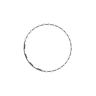 [C]1=C/C=C\C=C/C=CCCCCCCCCCCCCCCCCCCCCCC\1